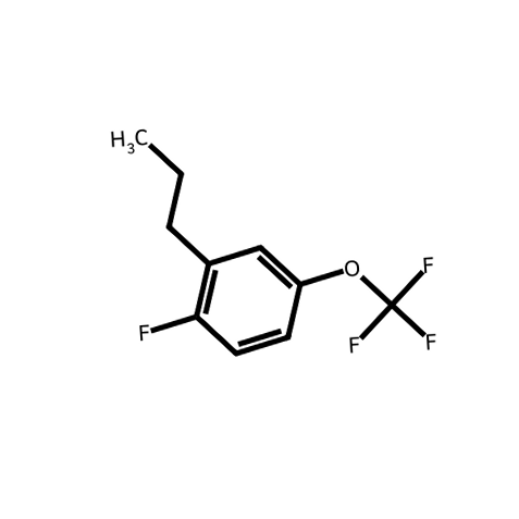 CCCc1cc(OC(F)(F)F)ccc1F